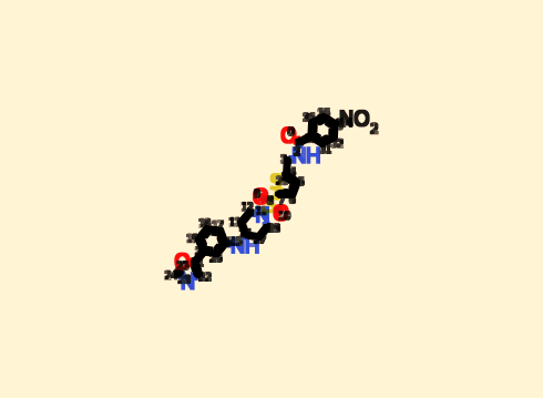 O=C(NCc1ccc(S(=O)(=O)N2CCC(Nc3cccc(-c4cnco4)c3)CC2)s1)c1ccc([N+](=O)[O-])cc1